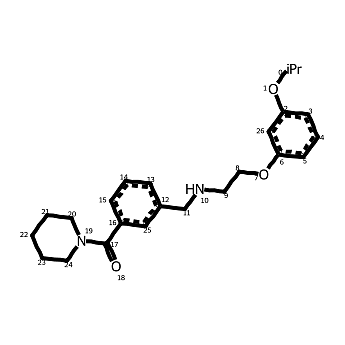 CC(C)Oc1cccc(OCCNCc2cccc(C(=O)N3CCCCC3)c2)c1